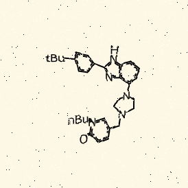 CCCCn1cc(CN2CCN(c3cccc4[nH]c(-c5ccc(C(C)(C)C)cc5)nc34)CC2)ccc1=O